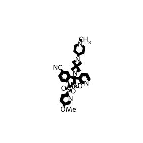 COc1ccc(S(=O)(=O)N2C(=O)C(c3cccnc3OC)(N3CC4(CN(C5CCN(C)CC5)C4)C3)c3cc(C#N)ccc32)nc1